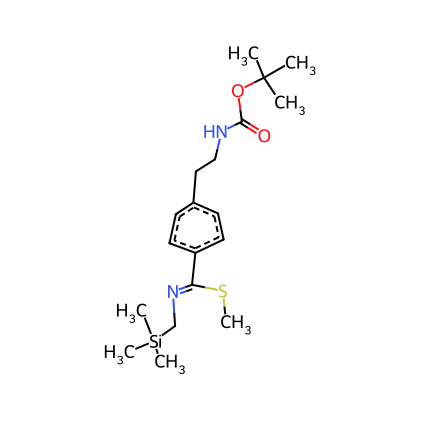 CSC(=NC[Si](C)(C)C)c1ccc(CCNC(=O)OC(C)(C)C)cc1